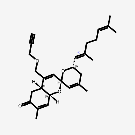 C#CCOCC1=C[C@]2(C=C(C)C[C@@H](/C=C(\C)CCC=C(C)C)O2)O[C@@H]2C=C(C)C(=O)C[C@H]12